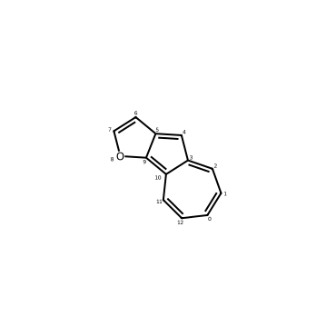 c1ccc2cc3ccoc3c-2cc1